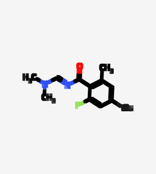 Cc1cc(C(C)(C)C)cc(F)c1C(=O)/N=C/N(C)C